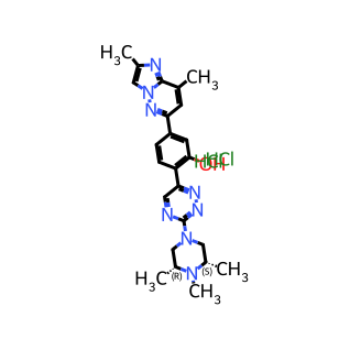 Cc1cn2nc(-c3ccc(-c4cnc(N5C[C@@H](C)N(C)[C@@H](C)C5)nn4)c(O)c3)cc(C)c2n1.Cl.Cl